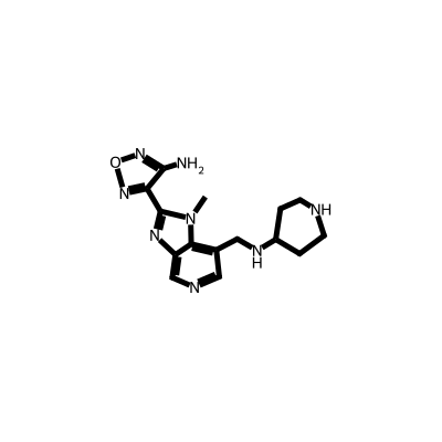 Cn1c(-c2nonc2N)nc2cncc(CNC3CCNCC3)c21